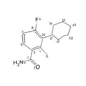 Cc1c(C(N)=O)ccc(F)c1C1CCCCC1